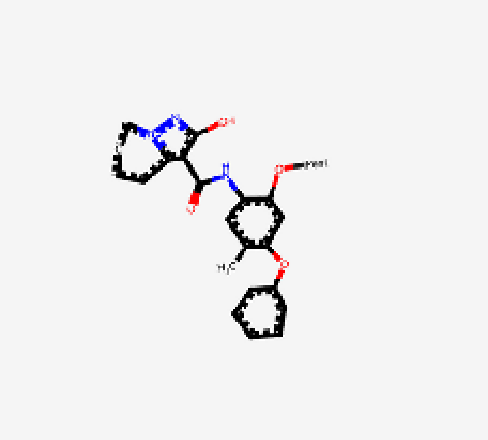 CCCC(C)Oc1cc(Oc2ccccc2)c(C)cc1NC(=O)c1c(O)nn2ccccc12